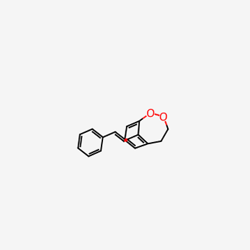 C(=Cc1c2cccc1OOCC2)c1ccccc1